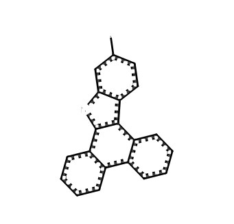 Clc1ccc2c(c1)[nH]c1c3ccccc3c3ccccc3c21